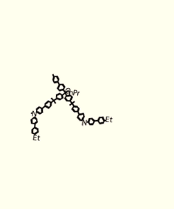 CCCOC(c1ccc(-c2ccc(C)cc2)cc1)(c1ccc(C(C)(C)c2ccc(-c3ccc(N(C)c4ccc(-c5ccc(CC)cc5)cc4)cc3)cc2)cc1)c1ccc(C(C)(C)c2ccc(-c3ccc(N(C)c4ccc(-c5ccc(CC)cc5)cc4)cc3)cc2)cc1